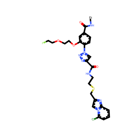 CCNC(=O)c1ccc(-n2cc(C(=O)NCCSCc3cn4c(Cl)cccc4n3)nn2)c(OCCOCCF)c1